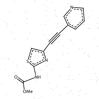 COC(=O)Nc1nc(C#Cc2cccnc2)cs1